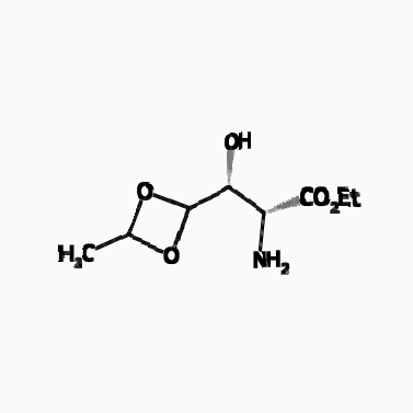 CCOC(=O)[C@H](N)[C@@H](O)C1OC(C)O1